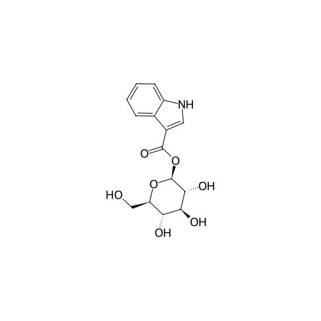 O=C(O[C@@H]1O[C@H](CO)[C@@H](O)[C@H](O)[C@H]1O)c1c[nH]c2ccccc12